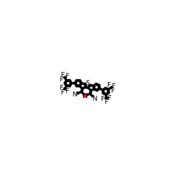 N#CC(C#N)=C1c2cc(-c3cc(C(F)(F)F)cc(C(F)(F)F)c3)ccc2-c2sc3c(c21)C(=C(C#N)C#N)c1cc(-c2cc(C(F)(F)F)cc(C(F)(F)F)c2)ccc1-3